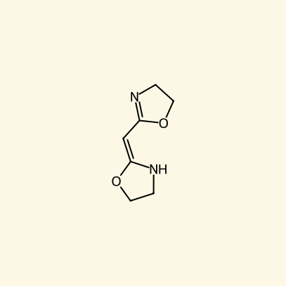 C(=C1NCCO1)C1=NCCO1